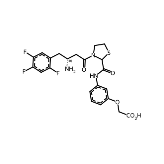 N[C@@H](CC(=O)N1CCSC1C(=O)Nc1cccc(OCC(=O)O)c1)Cc1cc(F)c(F)cc1F